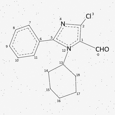 O=Cc1c(Cl)nc(-c2ccccc2)n1C1CCCCC1